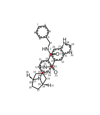 O=C(NCc1ccccc1)c1ccc(N2[C@@H]3CC[C@H]2C[C@@H](NC(=O)c2ccc4[nH]cnc4c2)C3)nc1